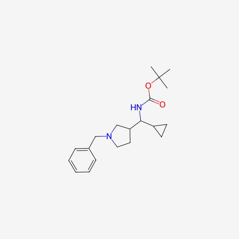 CC(C)(C)OC(=O)NC(C1CC1)C1CCN(Cc2ccccc2)C1